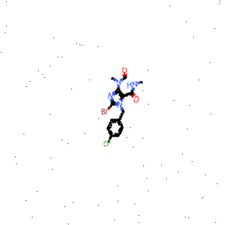 CNC(=O)c1c(N(C)C=O)nc(Br)n1Cc1ccc(Cl)cc1